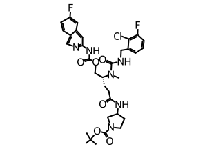 CN(C(=O)NCc1cccc(F)c1Cl)[C@H](CCC(=O)NC1CCN(C(=O)OC(C)(C)C)C1)COC(=O)Nc1cc2cc(F)ccc2cn1